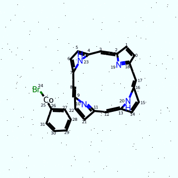 C1=Cc2cc3ccc(cc4nc(cc5ccc(cc1n2)[nH]5)C=C4)[nH]3.[Br][Co][c]1ccccc1